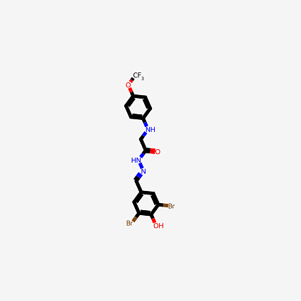 O=C(CNc1ccc(OC(F)(F)F)cc1)NN=Cc1cc(Br)c(O)c(Br)c1